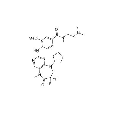 COc1cc(C(=O)NCCN(C)C)ccc1Nc1ncc2c(n1)N(C1CCCC1)CC(F)(F)C(=O)N2C